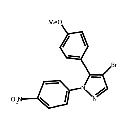 COc1ccc(-c2c(Br)cnn2-c2ccc([N+](=O)[O-])cc2)cc1